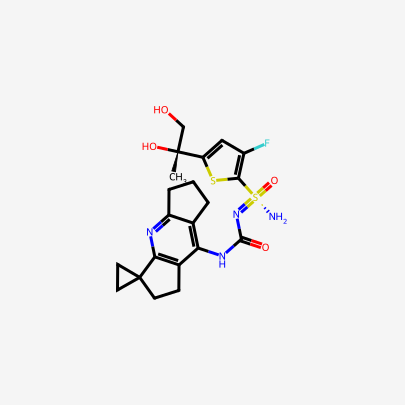 C[C@@](O)(CO)c1cc(F)c([S@@](N)(=O)=NC(=O)Nc2c3c(nc4c2CCC42CC2)CCC3)s1